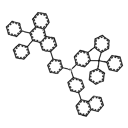 c1ccc(-c2c(-c3ccccc3)c3cc(-c4cccc(N(c5ccc(-c6cccc7ccccc67)cc5)c5ccc6c(c5)C(c5ccccc5)(c5ccccc5)c5ccccc5-6)c4)ccc3c3ccccc23)cc1